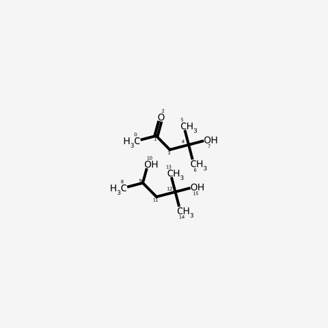 CC(=O)CC(C)(C)O.CC(O)CC(C)(C)O